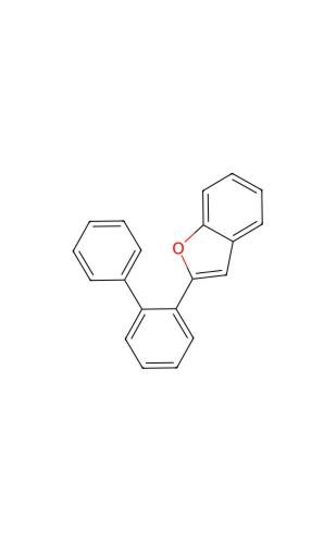 c1ccc(-c2ccccc2-c2cc3ccccc3o2)cc1